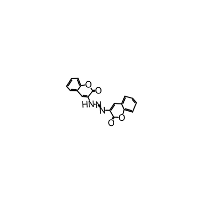 O=c1oc2ccccc2cc1N=NNc1cc2ccccc2oc1=O